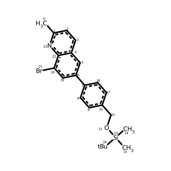 Cc1ccc2cc(-c3ccc(CO[Si](C)(C)C(C)(C)C)cc3)cc(Br)c2n1